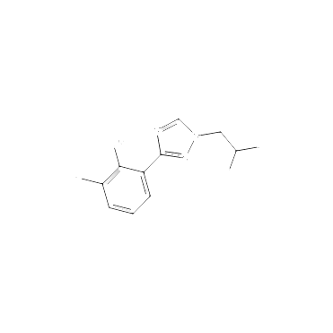 COc1c(-c2ncn(CC(F)F)n2)cccc1C(C)C